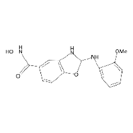 COc1ccccc1NC1Nc2cc(C(=O)NO)ccc2O1